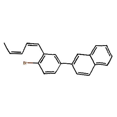 C/C=C\C=C/c1cc(-c2ccc3ccccc3c2)ccc1Br